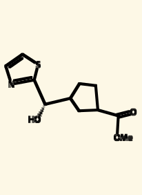 COC(=O)C1CCC([C@H](O)c2nccs2)C1